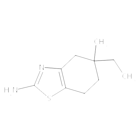 CCC1(C)CCc2sc(N)nc2C1